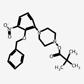 CC(C)(C)C(=O)ON1CCN(c2cccc([N+](=O)[O-])c2OCc2ccccc2)CC1